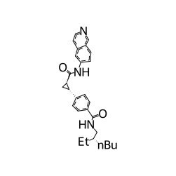 CCCC[C@H](CC)CNC(=O)c1ccc([C@@H]2C[C@H]2C(=O)Nc2ccc3cnccc3c2)cc1